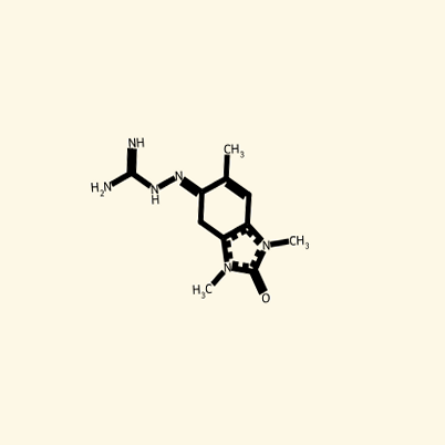 CC1=Cc2c(n(C)c(=O)n2C)CC1=NNC(=N)N